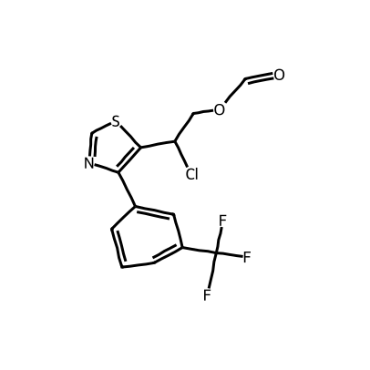 O=COCC(Cl)c1scnc1-c1cccc(C(F)(F)F)c1